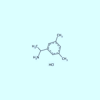 Cc1cc(C)cc(C(C)N)c1.Cl